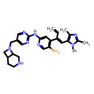 C=C/C(=C\c1c(C)nc(C)n1C(C)C)c1cc(Nc2ncc(CN3CC4CCNCC43)cn2)ncc1P